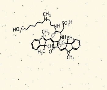 CN(CCCCCC(=O)O)CCNC(=O)C(CS(=O)(=O)O)NC1=C(/C=C2/N(C)c3ccccc3C2(C)C)C(=O)/C1=C\C1=[N+](C)c2ccccc2C1(C)C